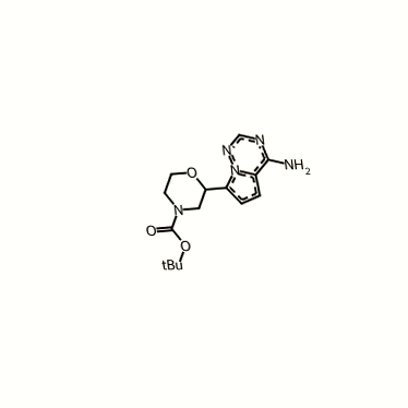 CC(C)(C)OC(=O)N1CCOC(c2ccc3c(N)ncnn23)C1